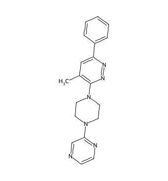 Cc1cc(-c2ccccc2)nnc1N1CCN(c2cnccn2)CC1